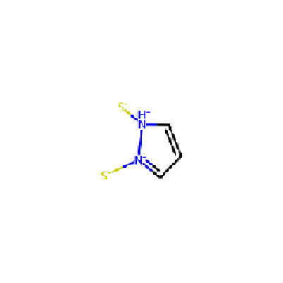 [S-][N+]1=CC=C[NH+]1[S-]